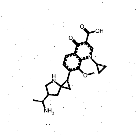 COc1c(C2CC23CC([C@H](C)N)CN3)ccc2c(=O)c(C(=O)O)cn(C3CC3)c12